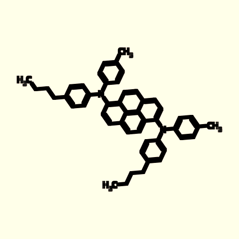 CCCCc1ccc(N(c2ccc(C)cc2)c2ccc3ccc4c(N(c5ccc(C)cc5)c5ccc(CCCC)cc5)ccc5ccc2c3c54)cc1